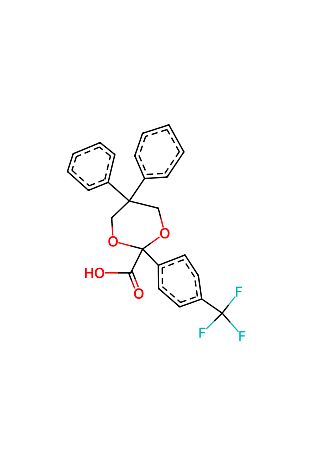 O=C(O)C1(c2ccc(C(F)(F)F)cc2)OCC(c2ccccc2)(c2ccccc2)CO1